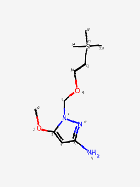 COc1cc(N)nn1COCC[Si](C)(C)C